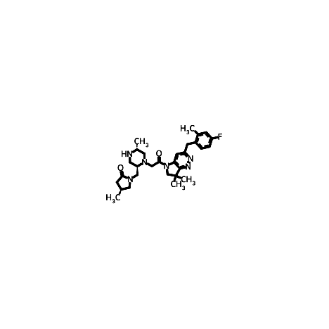 Cc1cc(F)ccc1Cc1cc2c(nn1)C(C)(C)CN2C(=O)CN1C[C@@H](C)NC[C@@H]1CN1C[C@@H](C)CC1=O